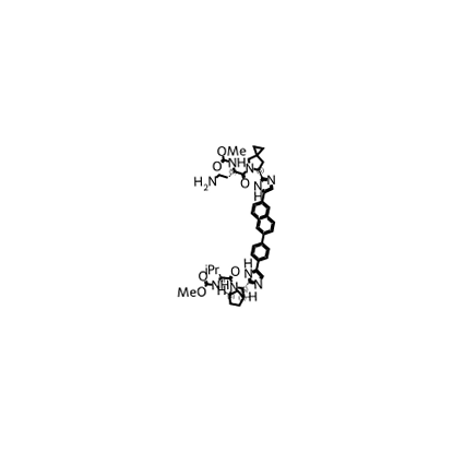 COC(=O)N[C@@H](CCN)C(=O)N1CC2(CC2)C[C@H]1c1ncc(-c2ccc3cc(-c4ccc(-c5cnc([C@@H]6[C@H]7CC[C@H](C7)N6C(=O)[C@@H](NC(=O)OC)C(C)C)[nH]5)cc4)ccc3c2)[nH]1